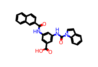 O=C(O)c1cc(NC(=O)c2ccc3ccccc3c2)cc(NC(=O)n2ccc3ccccc32)c1